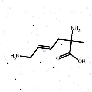 CC(N)(C/C=C/CN)C(=O)O